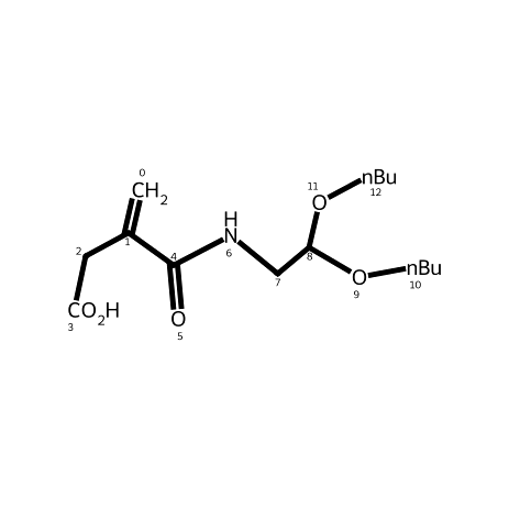 C=C(CC(=O)O)C(=O)NCC(OCCCC)OCCCC